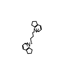 c1cc2c([n+](CCCC[n+]3cccc4c3CCC4)c1)CCC2